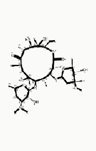 CC[C@H]1OC(=O)[C@H](C)[C@@H](OC2C[C@@](C)(OC)[C@@H](O)[C@H](C)O2)[C@H](C)[C@@H](O[C@@H]2O[C@H](C)C[C@H](N(C)C)[C@H]2O)[C@](C)(O)C[C@@H](C)C(=O)[C@H](C)[C@@H](O)[C@]1(C)O